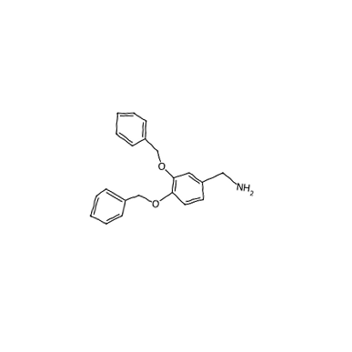 NCc1ccc(OCc2ccccc2)c(OCc2ccccc2)c1